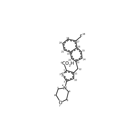 O=C(O)c1sc(N2CCOCC2)cc1Cc1ccc2c(F)cccc2c1